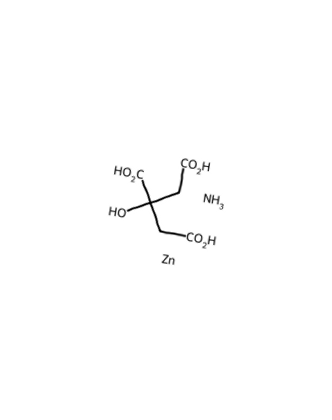 N.O=C(O)CC(O)(CC(=O)O)C(=O)O.[Zn]